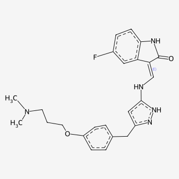 CN(C)CCCOc1ccc(Cc2cc(N/C=C3/C(=O)Nc4ccc(F)cc43)[nH]n2)cc1